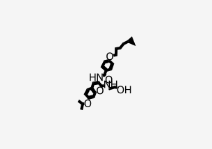 CC(C)Oc1ccc(/C=C(/NC(=O)c2ccc(OCCCCC3CC3)cc2)C(=O)NCCO)cc1